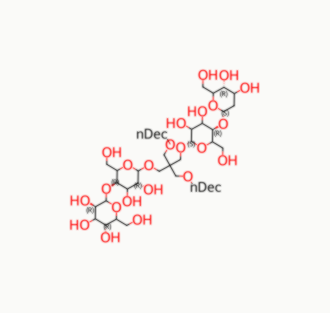 CCCCCCCCCCOCC(COCCCCCCCCCC)(COC1OC(CO)[C@H](OC2OC(CO)[C@H](O)C(O)[C@H]2O)C(O)[C@H]1O)CO[C@H]1OC(CO)[C@H](O[C@H]2CC(O)[C@@H](O)C(CO)O2)C(O)C1O